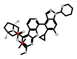 CSc1nc(N2C[C@H]3CC[C@@H](C2)N3C(=O)OC(C)(C)C)c2c(n1)sc1c(-c3c(C4CC4)c(Cl)cc4c3cnn4C3CCCCO3)nccc12